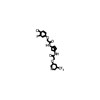 O=C(COc1ccc(Cl)c(F)c1)NC12CCC(NC(=O)COC3C=NCC(C(F)(F)F)C3)(C1)C2